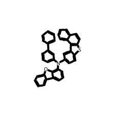 c1ccc(-c2cccc(N(c3ccc4sc5ccc6ccccc6c5c4c3)c3cccc4c3oc3ccccc34)c2)cc1